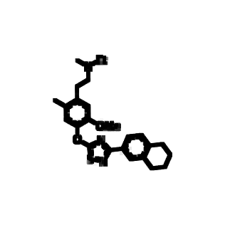 CCN(C)CCc1cc(OC)c(Oc2nc(-c3ccc4c(c3)CCCC4)ns2)cc1C